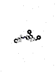 CN(Cc1ccccc1)C[C@@H](CCc1ccccc1)Nc1cnc(/C=C/C(=O)NOC2CCCCO2)cn1